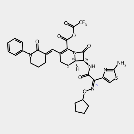 Nc1nc(/C(=N/OC2CCCC2)C(=O)N[C@@H]2C(=O)N3C(C(=O)OC(=O)C(F)(F)F)=C(C=C4CCCN(c5ccccc5)C4=O)CS[C@H]23)cs1